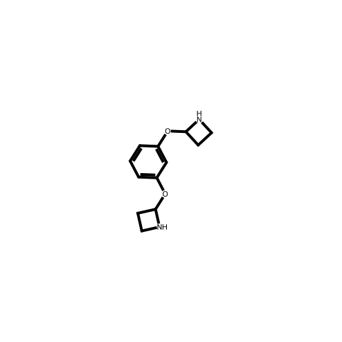 c1cc(OC2CCN2)cc(OC2CCN2)c1